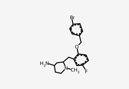 CN1CCC(N)CC1Cc1cc(F)ccc1OCc1ccc(Br)cc1